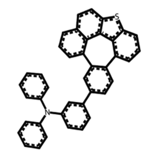 c1ccc(N(c2ccccc2)c2cccc(-c3ccc4c(c3)-c3cccc5ccc6sc7cccc-4c7c6c35)c2)cc1